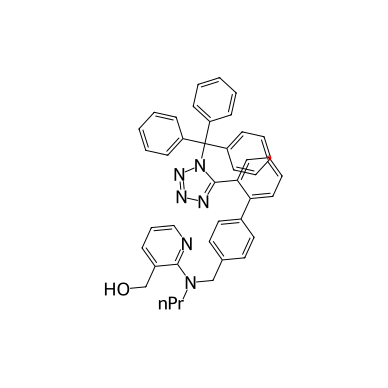 CCCN(Cc1ccc(-c2ccccc2-c2nnnn2C(c2ccccc2)(c2ccccc2)c2ccccc2)cc1)c1ncccc1CO